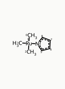 [CH3][Ru]([CH3])([CH3])[n]1cccc1